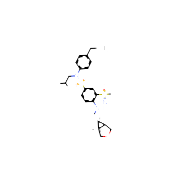 CCc1ccc(N(CC(C)C)S(=O)(=O)c2ccc(NC[C@@H]3C4COC[C@H]43)c(S(C)(=N)=O)c2)cc1